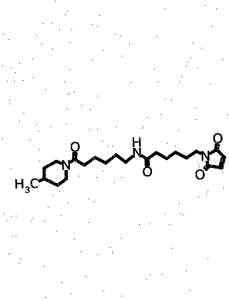 CC1CCN(C(=O)CCCCCNC(=O)CCCCCN2C(=O)C=CC2=O)CC1